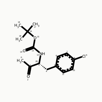 CC(=O)[C@@H](Cc1ccc(Cl)cc1)NC(=O)OC(C)(C)C